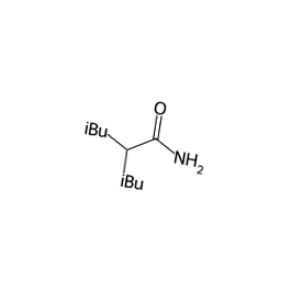 CCC(C)C(C(N)=O)C(C)CC